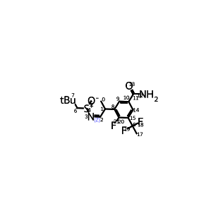 CC(/C=N\[S+]([O-])CC(C)(C)C)c1cc(C(N)=O)cc(C(C)(F)F)c1F